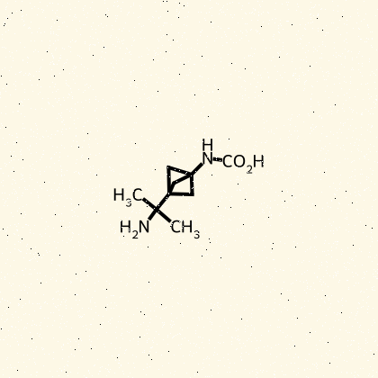 CC(C)(N)C12CC(NC(=O)O)(C1)C2